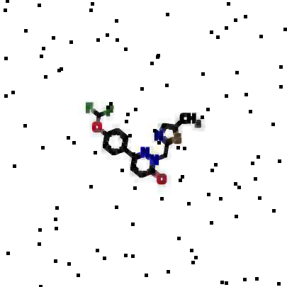 Cc1cnc(Cn2nc(-c3ccc(OC(F)F)cc3)ccc2=O)s1